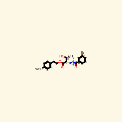 COc1ccc(CCOC(=O)[C@@H](CNC(=O)c2cccc(Br)c2)[C@@H](C)O)cc1